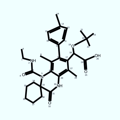 CCNC(=O)N1c2c(C)c(-c3ccc(C)cc3)c(C(OC(C)(C)C)C(=O)O)c(C)c2NC(=O)C12CCCCC2